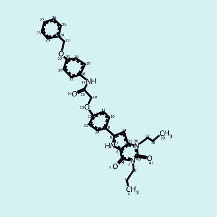 CCCn1c(=O)c2[nH]c(-c3ccc(OCC(=O)Nc4ccc(OCc5ccccc5)cc4)cc3)cc2n(CCC)c1=O